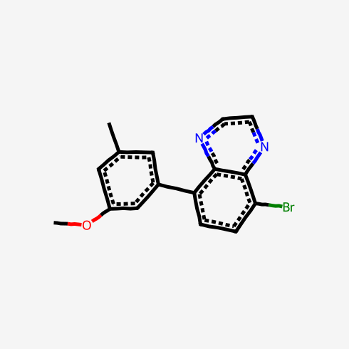 COc1cc(C)cc(-c2ccc(Br)c3nccnc23)c1